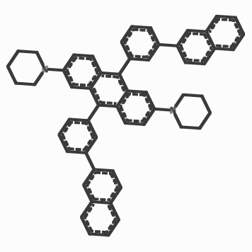 c1cc(-c2ccc3ccccc3c2)cc(-c2c3ccc(N4CCCCC4)cc3c(-c3cccc(-c4ccc5ccccc5c4)c3)c3ccc(N4CCCCC4)cc23)c1